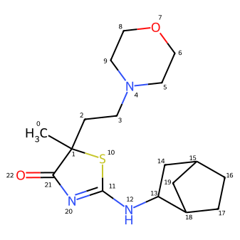 CC1(CCN2CCOCC2)SC(NC2CC3CCC2C3)=NC1=O